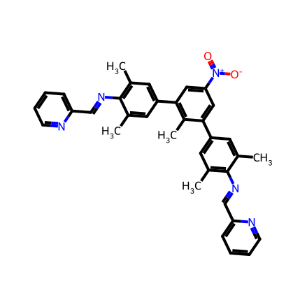 Cc1cc(-c2cc([N+](=O)[O-])cc(-c3cc(C)c(N=Cc4ccccn4)c(C)c3)c2C)cc(C)c1N=Cc1ccccn1